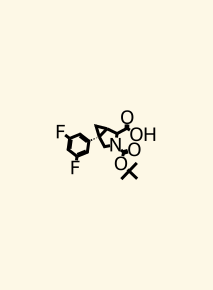 CC(C)(C)OC(=O)N1C[C@@]2(c3cc(F)cc(F)c3)CC2C1C(=O)O